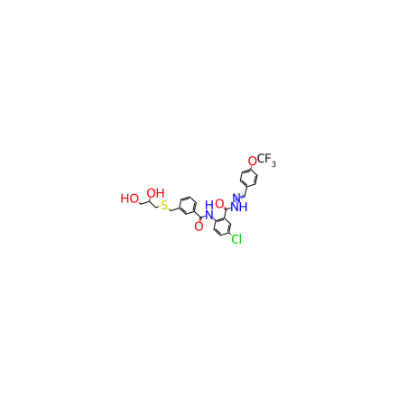 O=C(Nc1ccc(Cl)cc1C(=O)N/N=C/c1ccc(OC(F)(F)F)cc1)c1cccc(CSCC(O)CO)c1